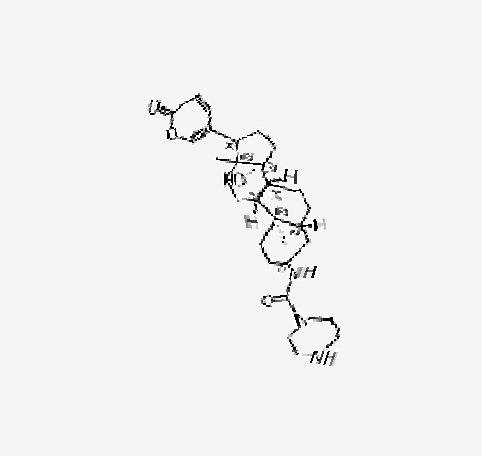 C[C@@]12CC[C@@H](NC(=O)N3CCNCC3)C[C@H]1CC[C@@H]1[C@H]2CC[C@]2(C)[C@@H](c3ccc(=O)oc3)CC[C@@]12O